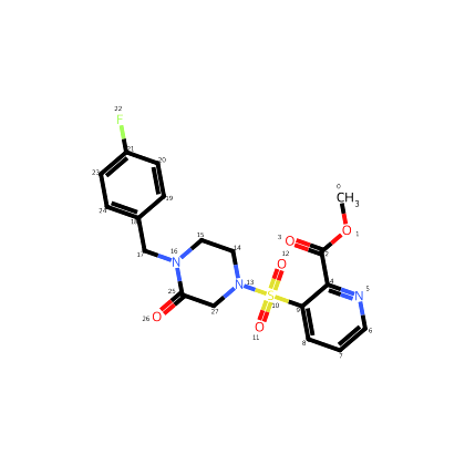 COC(=O)c1ncccc1S(=O)(=O)N1CCN(Cc2ccc(F)cc2)C(=O)C1